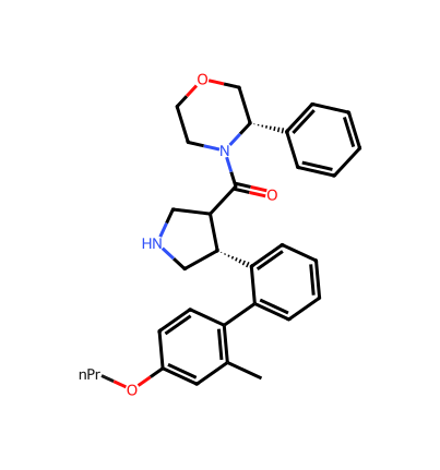 CCCOc1ccc(-c2ccccc2[C@@H]2CNCC2C(=O)N2CCOC[C@@H]2c2ccccc2)c(C)c1